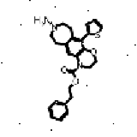 NN1CCc2cc3c(c(-c4cccs4)c2CC1)OCCN3C(=O)OCCc1ccccc1